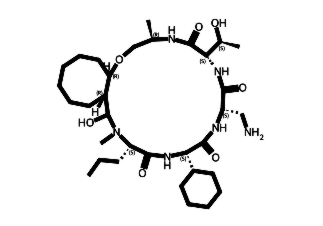 CCC[C@H]1C(=O)N[C@@H](C2CCCCC2)C(=O)N[C@@H](CN)C(=O)N[C@@H]([C@H](C)O)C(=O)N[C@H](C)CO[C@@H]2CCCCCC[C@H]2C(O)N1C